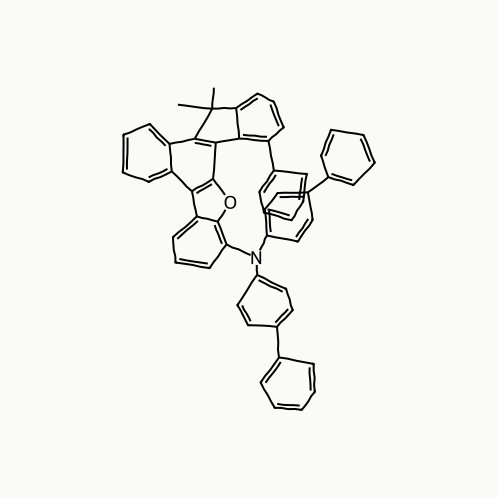 CC1(C)c2cccc(-c3ccccc3)c2-c2c1c1ccccc1c1c2oc2c(N(c3ccc(-c4ccccc4)cc3)c3ccc(-c4ccccc4)cc3)cccc21